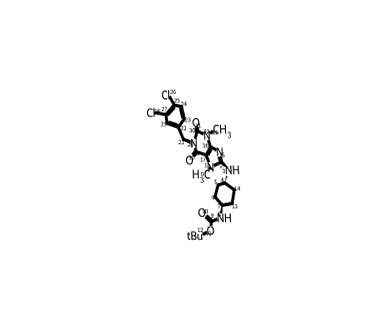 Cn1c(N[C@H]2CC[C@H](NC(=O)OC(C)(C)C)CC2)nc2c1c(=O)n(Cc1ccc(Cl)c(Cl)c1)c(=O)n2C